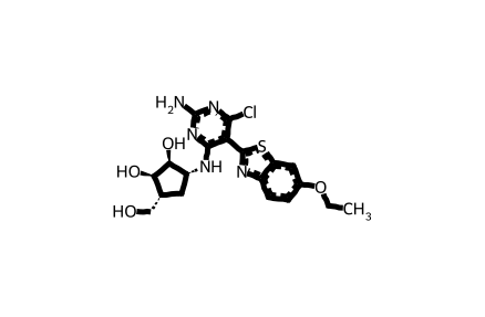 CCOc1ccc2nc(-c3c(Cl)nc(N)nc3N[C@@H]3C[C@H](CO)[C@@H](O)[C@H]3O)sc2c1